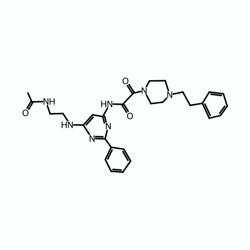 CC(=O)NCCNc1cc(NC(=O)C(=O)N2CCN(CCc3ccccc3)CC2)nc(-c2ccccc2)n1